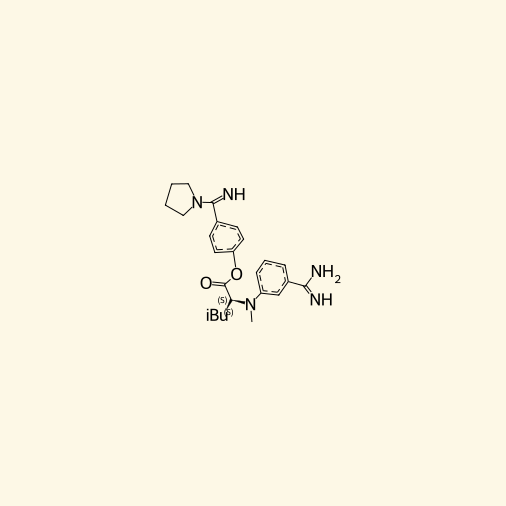 CC[C@H](C)[C@@H](C(=O)Oc1ccc(C(=N)N2CCCC2)cc1)N(C)c1cccc(C(=N)N)c1